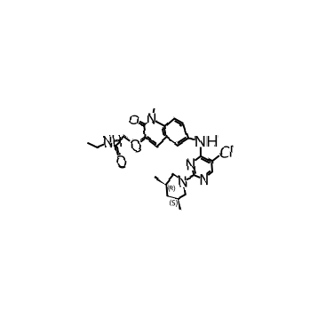 CCNC(=O)COc1cc2cc(Nc3nc(N4C[C@H](C)C[C@H](C)C4)ncc3Cl)ccc2n(C)c1=O